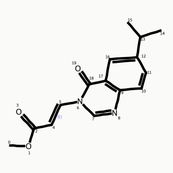 COC(=O)/C=C/n1cnc2ccc(C(C)C)cc2c1=O